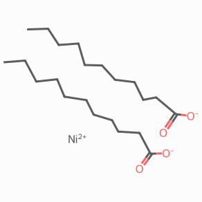 CCCCCCCCCCC(=O)[O-].CCCCCCCCCCC(=O)[O-].[Ni+2]